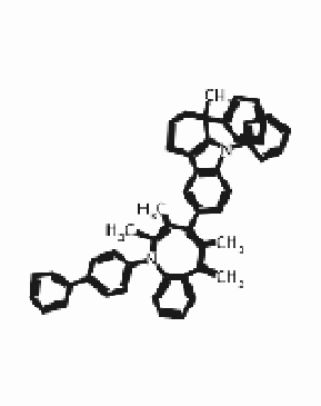 C=C1/C(C)=C(c2ccc3c(c2)c2c(n3-c3ccccc3)C(C)(c3ccccc3)CC=C2)\C(C)=C(\C)N(c2ccc(-c3ccccc3)cc2)c2ccccc21